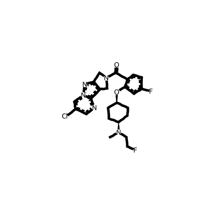 CN(CCF)[C@H]1CC[C@@H](Oc2cc(F)ccc2C(=O)N2Cc3nn4cc(Cl)cnc4c3C2)CC1